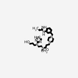 C=CC(=N)Nc1cccc(CN2CCN(CCC(=O)N(C)CCN(CCCO)C(/N=C\C)=N/C(C)C)CC2)c1